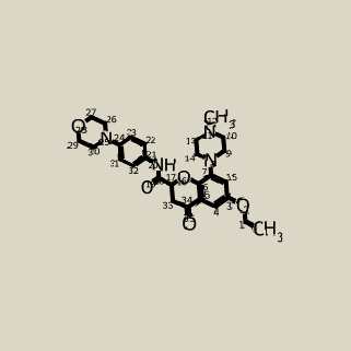 CCOc1cc2c(c(N3CCN(C)CC3)c1)OC(C(=O)Nc1ccc(N3CCOCC3)cc1)CC2=O